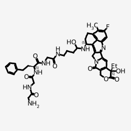 CC[C@@]1(O)C(=O)OCc2c1cc1n(c2=O)Cc2c-1nc1cc(F)c(C)c3c1c2[C@@H](NC(O)CCCNC(=O)CNC(=O)[C@H](CCc1ccccc1)NC(=O)CNC(=O)CN)CC3